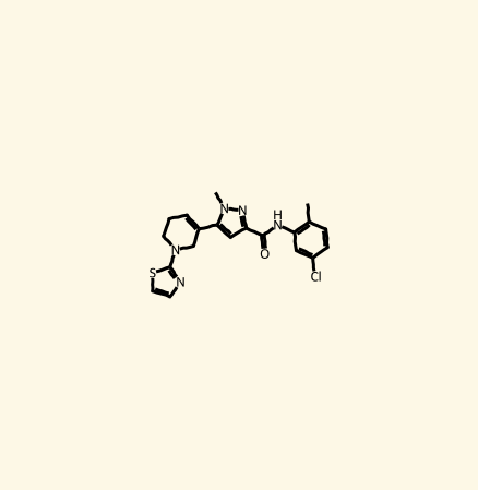 Cc1ccc(Cl)cc1NC(=O)c1cc(C2=CCCN(c3nccs3)C2)n(C)n1